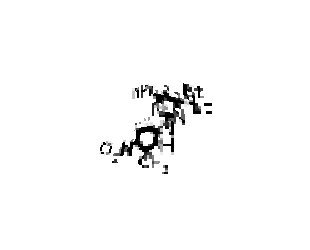 CCCc1cc(N(CC)CC)nc(Nc2ccc([N+](=O)[O-])c(C(F)(F)F)c2)n1